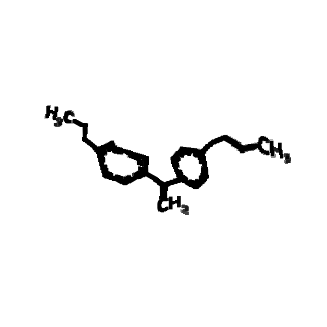 C=C(c1ccc(CCC)cc1)c1ccc(CCC)cc1